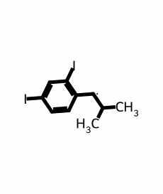 CC(C)[CH]c1ccc(I)cc1I